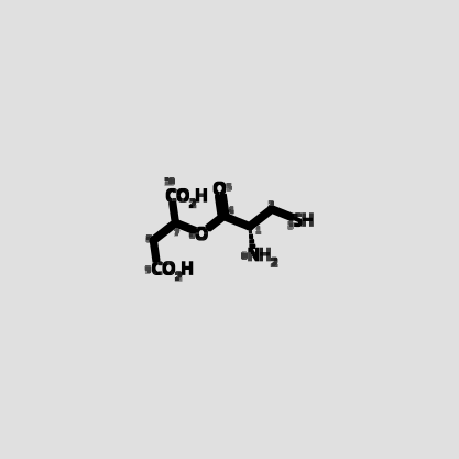 N[C@@H](CS)C(=O)OC(CC(=O)O)C(=O)O